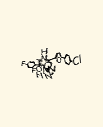 C[C@@H](NC(=O)c1ccc(-c2ccc(Cl)cc2)o1)[C@](O)(Cn1cncn1)c1ccc(F)cc1F